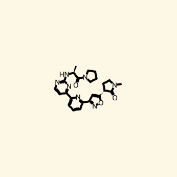 C[C@H](Nc1nccc(-c2cccc(-c3cc([C@@H]4CCN(C)C4=O)on3)n2)n1)C(=O)N1CCCC1